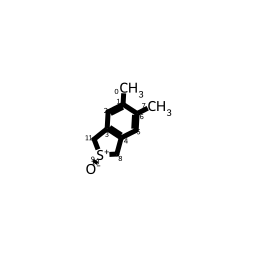 Cc1cc2c(cc1C)C[S+]([O-])C2